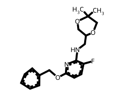 CC1(C)COC(CNc2nc(OCc3ccccc3)ccc2F)CO1